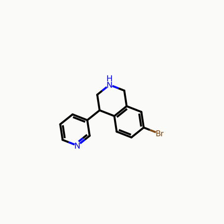 Brc1ccc2c(c1)CNCC2c1cccnc1